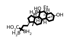 BC(B)(CC[C@H]1CC[C@H]2[C@H]3[C@H](CC[C@]12C)[C@@]1(C)CC[C@@H](O)C[C@H]1[C@@H](CC)[C@@]3(B)O)C(=O)O